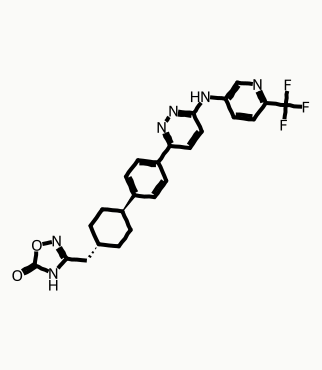 O=c1[nH]c(C[C@H]2CC[C@H](c3ccc(-c4ccc(Nc5ccc(C(F)(F)F)nc5)nn4)cc3)CC2)no1